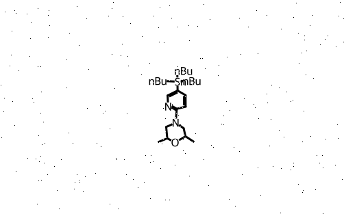 CCC[CH2][Sn]([CH2]CCC)([CH2]CCC)[c]1ccc(N2CC(C)OC(C)C2)nc1